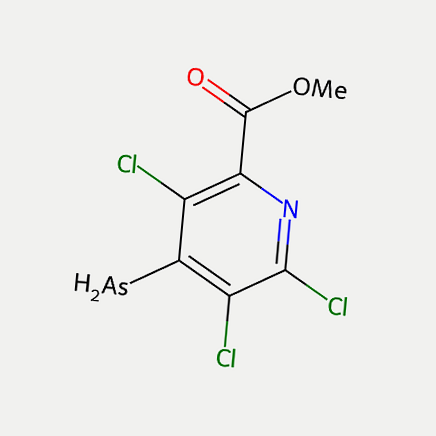 COC(=O)c1nc(Cl)c(Cl)c([AsH2])c1Cl